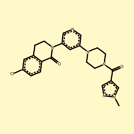 Cn1cc(C(=O)N2CCN(c3cncc(N4CCc5cc(Cl)ccc5C4=O)c3)CC2)cn1